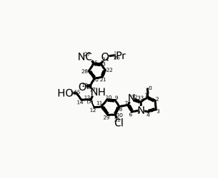 Cc1cccn2cc(-c3ccc(C[C@@H](CCO)NC(=O)c4ccc(OC(C)C)c(C#N)c4)cc3Cl)nc12